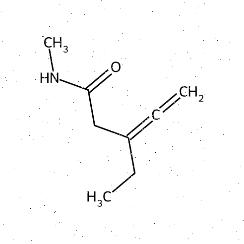 C=C=C(CC)CC(=O)NC